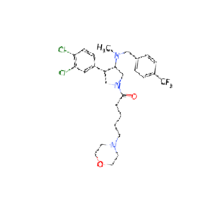 CN(Cc1ccc(C(F)(F)F)cc1)C1CN(C(=O)CCCCN2CCOCC2)CC1c1ccc(Cl)c(Cl)c1